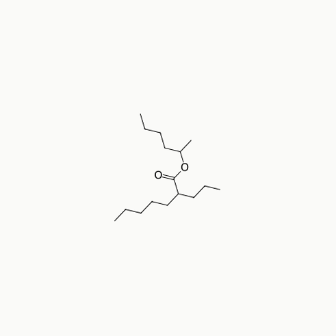 CCCCCC(CCC)C(=O)OC(C)CCCC